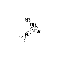 CC1CC(C)CC(N2CCC(c3cc(NCc4cccnc4)n4ncc(Br)c4n3)CC2)C1